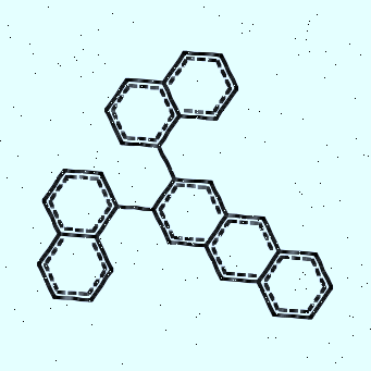 c1ccc2cc3cc(-c4cccc5ccccc45)c(-c4cccc5ccccc45)cc3cc2c1